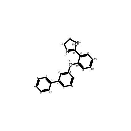 c1ccc(-c2cccc(Oc3ccccc3C3=NCCN3)c2)cc1